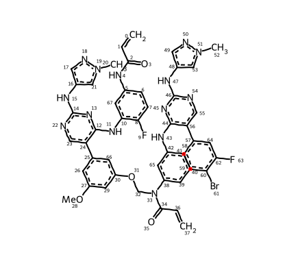 C=CC(=O)Nc1ccc(F)c(Nc2nc(Nc3cnn(C)c3)ncc2-c2cc(OC)cc(OCN(C(=O)C=C)c3cccc(Nc4nc(Nc5cnn(C)c5)ncc4-c4ccc(Br)c(F)c4)c3)c2)c1